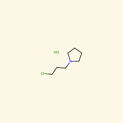 Cl.ClCCCN1CCCC1